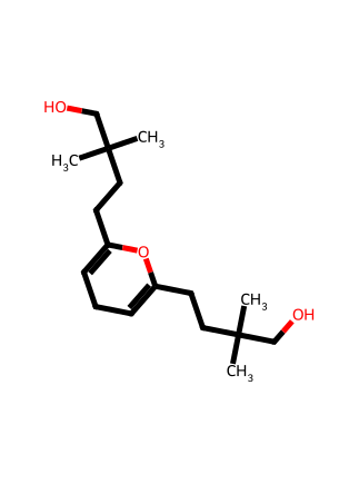 CC(C)(CO)CCC1=CCC=C(CCC(C)(C)CO)O1